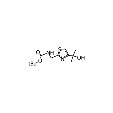 CC(C)(C)OC(=O)NCc1nc(C(C)(C)O)cs1